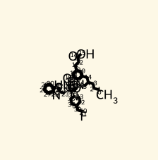 CCCCC1CNc2c(cc(CCC(=O)O)cc2S(=O)(=O)N[C@@H](Cc2nc3ccccc3s2)C(=O)N2CCC(CCF)CC2)C1